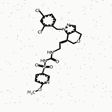 COc1ccc(S(=O)(=O)NC(=O)NCC=C2COCc3cnn(Cc4ccc(Cl)cc4Cl)c32)cn1